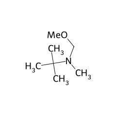 COCN(C)C(C)(C)C